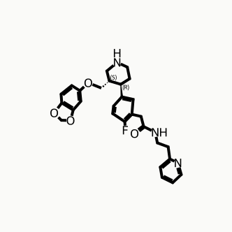 O=C(Cc1cc([C@@H]2CCNC[C@H]2COc2ccc3c(c2)OCO3)ccc1F)NCCc1ccccn1